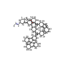 C/C=C/c1ccc2sc3ccc(-c4ccc(N(c5ccccc5)c5ccc6c(c5)-c5ccccc5C65c6ccccc6-c6ccccc65)cc4N(c4ccccc4)c4ccc5sc6ccccc6c5c4)cc3c2c1